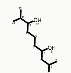 CC(C)CC(O)CCCC(O)C(C)C